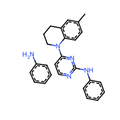 Cc1ccc2c(c1)CCCN2c1ccnc(Nc2ccccc2)n1.Nc1ccccc1